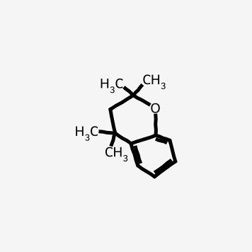 CC1(C)CC(C)(C)c2ccccc2O1